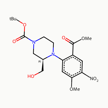 COC(=O)c1cc([N+](=O)[O-])c(OC)cc1N1CCN(C(=O)OC(C)(C)C)C[C@@H]1CO